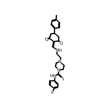 Cc1ccc(C2CC(=O)C(=CNCCN3CCN(C(=S)Nc4ccc(F)cc4)CC3)C(=O)C2)cc1